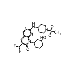 CS(=O)(=O)N1CCC(Nc2ncc3cc(C(F)F)c(=O)n([C@@H]4CCC[C@@H](O)C4)c3n2)CC1